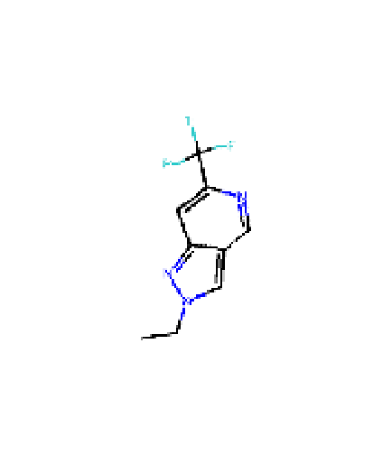 CCn1cc2cnc(C(F)(F)F)cc2n1